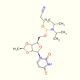 CC(C)N(C(C)C)P(OCCC#N)OC[C@H]1O[C@@H](n2ccc(=O)[nH]c2=O)C2O[C@@H](C)OC21